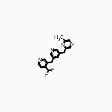 Cc1cncc(Cc2cncc(Cc3cnccc3C(F)F)c2)n1